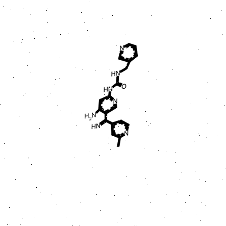 Cc1cc(C(=N)c2cnc(NC(=O)NCc3cccnc3)cc2N)ccn1